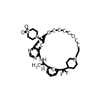 C[C@H]1Nc2ncnc3cc(c(N4CCS(=O)(=O)CC4)cc23)OCCCCOCCCN2CCC(CC2)C(F)(F)c2cccc1c2